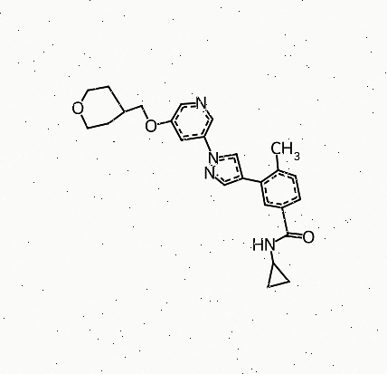 Cc1ccc(C(=O)NC2CC2)cc1-c1cnn(-c2cncc(OCC3CCOCC3)c2)c1